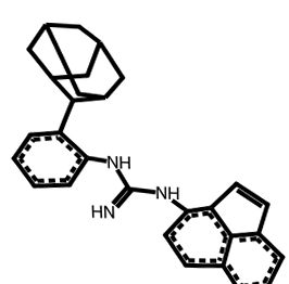 N=C(Nc1ccccc1C1C2CC3CC(C2)CC1C3)Nc1ccc2cccc3c2c1C=C3